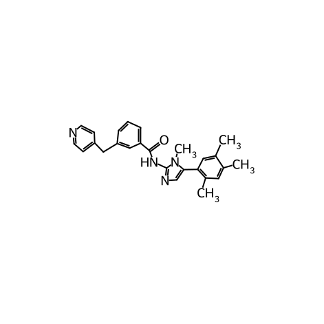 Cc1cc(C)c(-c2cnc(NC(=O)c3cccc(Cc4ccncc4)c3)n2C)cc1C